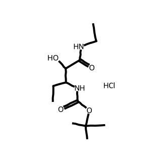 CCNC(=O)C(O)C(CC)NC(=O)OC(C)(C)C.Cl